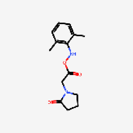 Cc1cccc(C)c1NOC(=O)CN1CCCC1=O